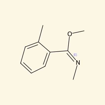 C/N=C(/OC)c1ccccc1C